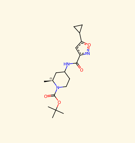 C[C@H]1CC(NC(=O)c2cc(C3CC3)on2)CCN1C(=O)OC(C)(C)C